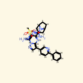 CS(=O)(=O)c1c(C2CC3CCC(C2)N3/C(N)=N/C#N)nc2c(-c3ccc(-c4ccccc4)nc3)cnn2c1N